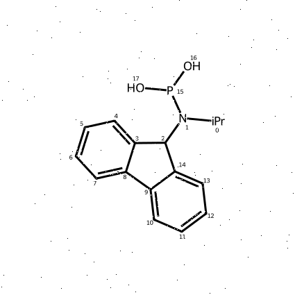 CC(C)N(C1c2ccccc2-c2ccccc21)P(O)O